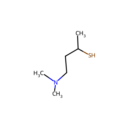 CC(S)CCN(C)C